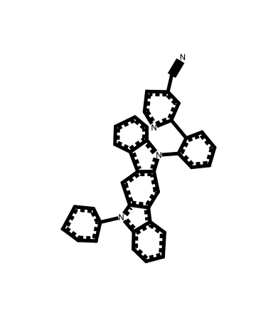 N#Cc1ccnc(-c2ccccc2-n2c3ccccc3c3cc4c(cc32)c2ccccc2n4-c2ccccc2)c1